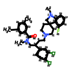 CC(=O)N1CC2(CCN(CCC(CN(C)C(=O)c3cc(C)cc(C)c3)c3ccc(Cl)c(Cl)c3)CC2)c2c(F)cccc21